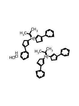 C[C](C)=[Hf]([C]1=CC(c2ccccc2)=CC1)[C]1=CC(c2ccccc2)=CC1.C[C](C)=[Hf]([C]1=CC(c2ccccc2)=CC1)[C]1=CC(c2ccccc2)=CC1.Cl.Cl